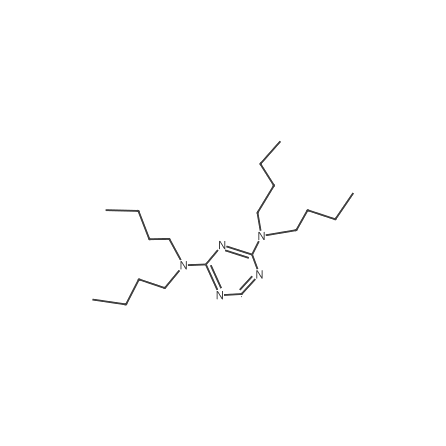 CCCCN(CCCC)c1n[c]nc(N(CCCC)CCCC)n1